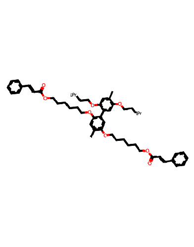 Cc1cc(OCCCCCCOC(=O)/C=C/c2ccccc2)c(-c2cc(OCCC(C)C)c(C)cc2OCCC(C)C)cc1OCCCCCCOC(=O)/C=C/c1ccccc1